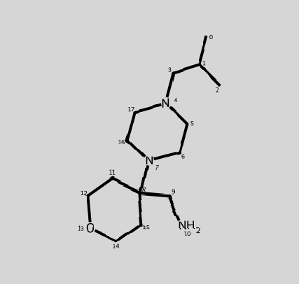 CC(C)CN1CCN(C2(CN)CCOCC2)CC1